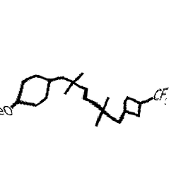 COC1CCC(CC(C)(C)CCC(C)(C)CC2CC(C(F)(F)F)C2)CC1